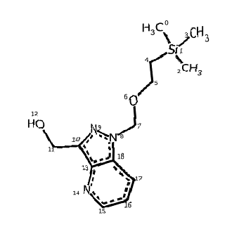 C[Si](C)(C)CCOCn1nc(CO)c2ncccc21